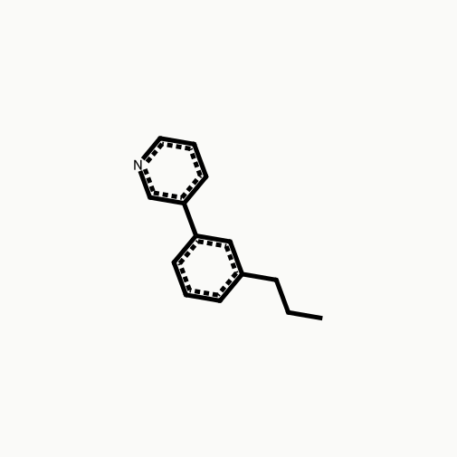 CCCc1cccc(-c2cccnc2)c1